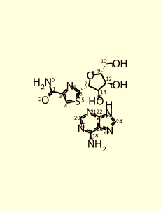 NC(=O)c1csc([C@@H]2O[C@H](CO)[C@@H](O)[C@H]2O)n1.Nc1ncnc2[nH]cnc12